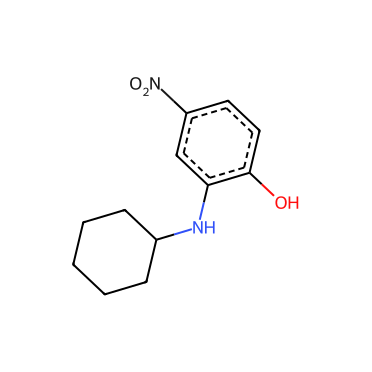 O=[N+]([O-])c1ccc(O)c(NC2CCCCC2)c1